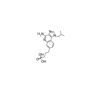 CC(C)Cn1cnc2c(N)nc3cc(CCCP(=O)(O)O)ccc3c21